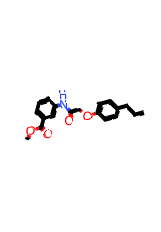 CCCc1ccc(OCC(=O)Nc2cccc(C(=O)OC)c2)cc1